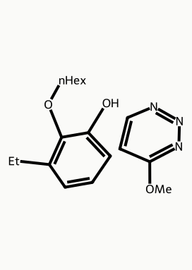 CCCCCCOc1c(O)cccc1CC.COc1ccnnn1